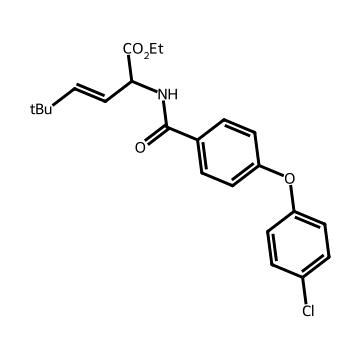 CCOC(=O)C(C=CC(C)(C)C)NC(=O)c1ccc(Oc2ccc(Cl)cc2)cc1